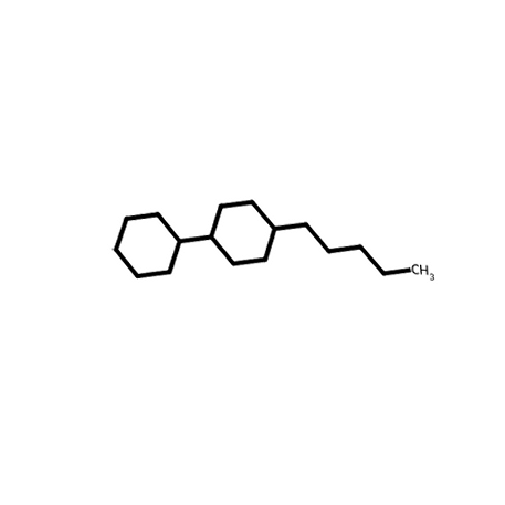 CCCCCC1CCC(C2CC[CH]CC2)CC1